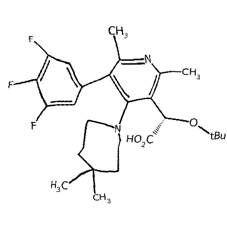 Cc1nc(C)c([C@H](OC(C)(C)C)C(=O)O)c(N2CCC(C)(C)CC2)c1-c1cc(F)c(F)c(F)c1